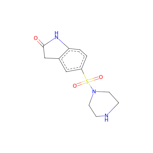 O=C1Cc2cc(S(=O)(=O)N3CCNCC3)ccc2N1